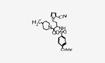 COc1ccc(S(=O)(=O)NC(CCn2cccc2C#N)C(=O)N2CCC(C)CC2)cc1